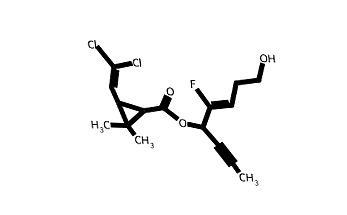 CC#CC(OC(=O)C1C(C=C(Cl)Cl)C1(C)C)C(F)=CCCO